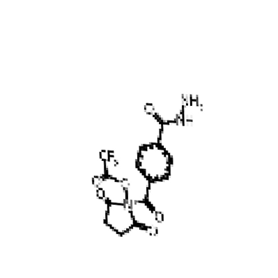 NNC(=O)c1ccc(C(=O)[N+]2(OC(=O)C(F)(F)F)C(=O)CCC2=O)cc1